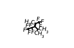 CC(=C(C(C)C)C(F)(F)C(F)(F)F)C(F)(F)F